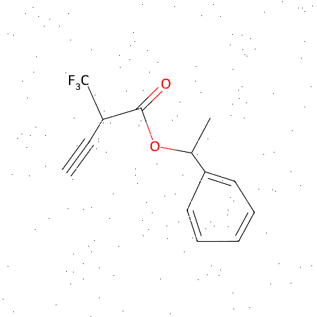 C#CC(C(=O)OC(C)c1ccccc1)C(F)(F)F